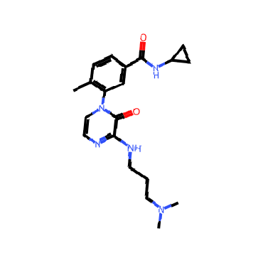 Cc1ccc(C(=O)NC2CC2)cc1-n1ccnc(NCCCN(C)C)c1=O